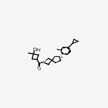 Cc1cc(C2CC2)ccc1[C@@H]1CCC2(C1)CN(C(=O)C1CC(C)(O)C1)C2